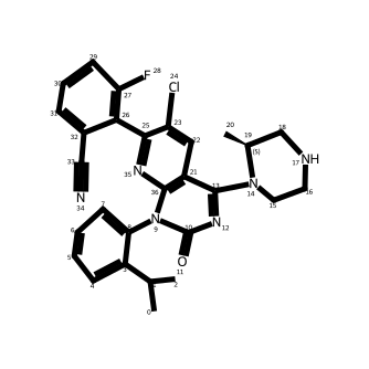 CC(C)c1ccccc1-n1c(=O)nc(N2CCNC[C@@H]2C)c2cc(Cl)c(-c3c(F)cccc3C#N)nc21